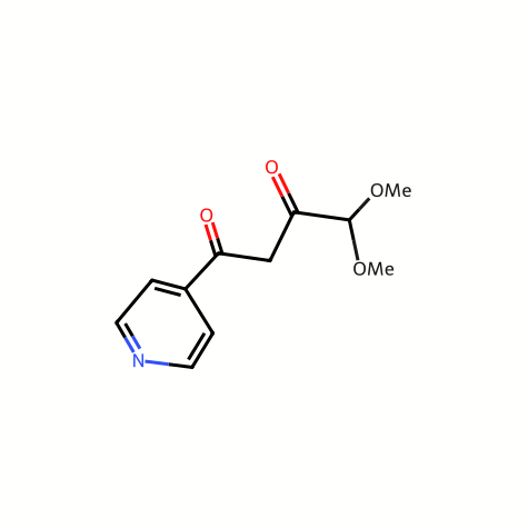 COC(OC)C(=O)CC(=O)c1ccncc1